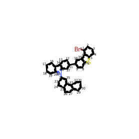 Brc1cccc2sc3ccc(-c4ccc5c6ccccc6n(-c6ccc7ccc8ccccc8c7c6)c5c4)cc3c12